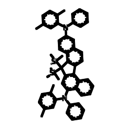 Cc1ccc(C)c(N(c2ccccc2)c2ccc3c4c(ccc3c2)-c2c(cc(N(c3ccccc3)c3cc(C)ccc3C)c3ccccc23)C4([Si](C)(C)C)[Si](C)(C)C)c1